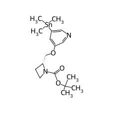 CC(C)(C)OC(=O)N1CC[C@@H]1COc1cnc[c]([Sn]([CH3])([CH3])[CH3])c1